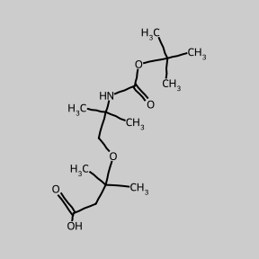 CC(C)(COC(C)(C)CC(=O)O)NC(=O)OC(C)(C)C